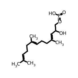 CC(C)=CCCC(C)=CCCC(C)=CC(O)CO[PH](=O)O